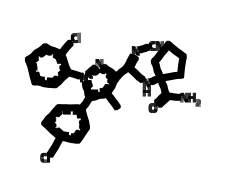 Cc1c(C(=NC#N)NC2(C(N)=O)CCCC2)nn(-c2ccccc2Cl)c1-c1ccc(Cl)cc1